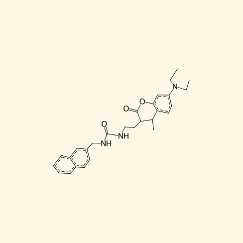 CCN(CC)c1ccc2c(c1)OC(=O)C(CCNC(=O)NCc1ccc3ccccc3c1)C2C